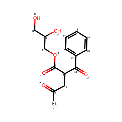 CCC(=O)CC(C(=O)OCC(O)CO)C(=O)c1ccccc1